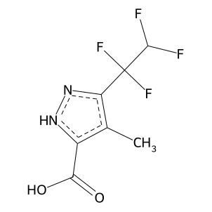 Cc1c(C(F)(F)C(F)F)n[nH]c1C(=O)O